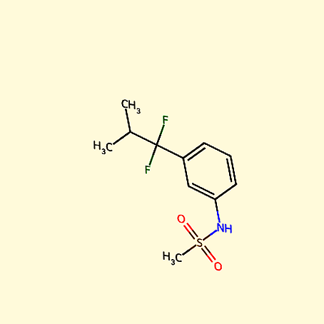 CC(C)C(F)(F)c1cccc(NS(C)(=O)=O)c1